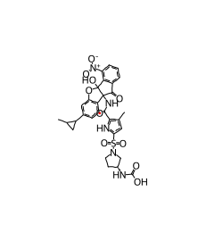 Cc1cc(S(=O)(=O)N2CC[C@H](NC(=O)O)C2)[nH]c1C(=O)NC12C(=O)c3cccc([N+](=O)[O-])c3C1(O)Oc1cc(C3CC3C)ccc12